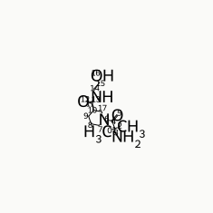 CC(C)(N)C(=O)N1CCCC(C(=O)NCCO)C1